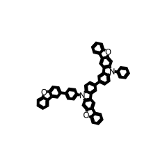 c1ccc(-n2c3ccc(-c4ccc5c(c4)c4cc6c(cc4n5-c4ccc(-c5ccc7oc8ccccc8c7c5)cc4)oc4ccccc46)cc3c3cc4c(cc32)oc2ccccc24)cc1